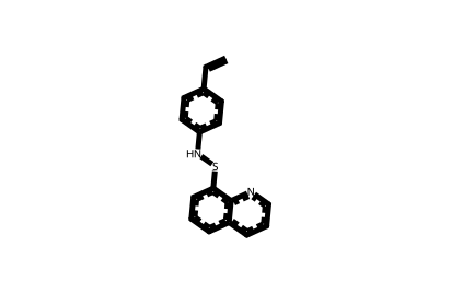 C=Cc1ccc(NSc2cccc3cccnc23)cc1